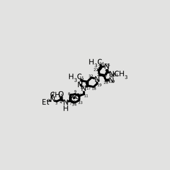 CCN(C)CC(=O)NC12CCC(Cn3nc(C)c4c3CCN(c3cc(C)nc5c3cnn5C)C4)(CC1)CC2